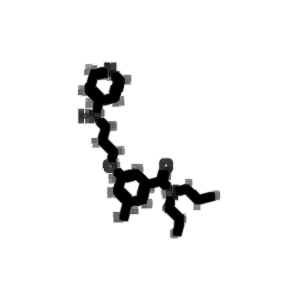 CCCN(CCC)C(=O)c1cc(C)cc(OCCCNc2ccncc2)c1